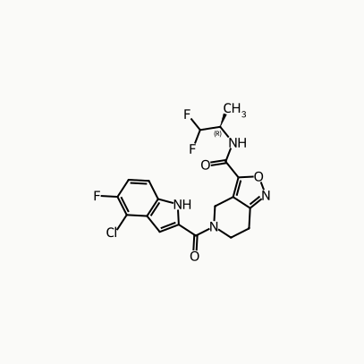 C[C@@H](NC(=O)c1onc2c1CN(C(=O)c1cc3c(Cl)c(F)ccc3[nH]1)CC2)C(F)F